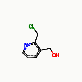 OCc1cccnc1CCl